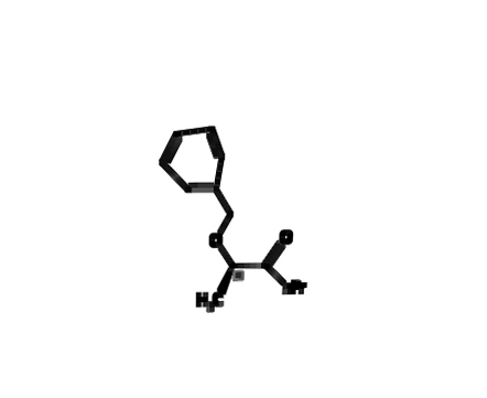 CCCC(=O)[C@@H](C)OCc1ccccc1